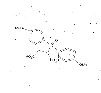 COc1ccc(P(=O)(c2ccc(OC)cc2)C(CC(=O)O)C(=O)O)cc1